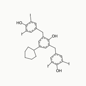 Oc1c(I)cc(Cc2cc(C3CCCCC3)cc(Cc3cc(I)c(O)c(I)c3)c2O)cc1I